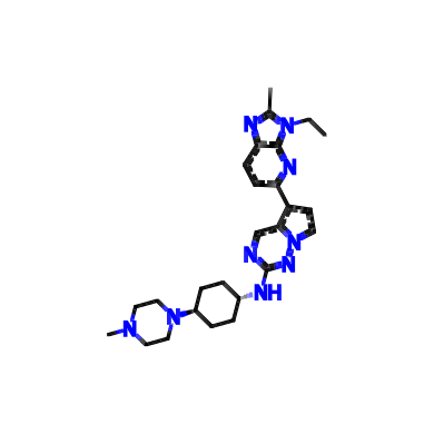 CCn1c(C)nc2ccc(-c3ccn4nc(N[C@H]5CC[C@H](N6CCN(C)CC6)CC5)ncc34)nc21